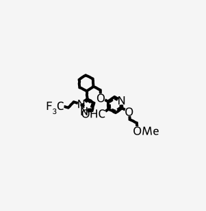 COCCOc1cc(C=O)c(OCC2CCCCC2c2ccnn2CCC(F)(F)F)cn1